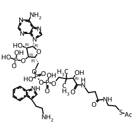 CC(=O)SCCNC(=O)CCNC(=O)[C@H](O)C(C)(C)COP(=O)(O)OP(=O)(O)OC[C@H]1O[C@@H](n2cnc3c(N)ncnc32)[C@H](O)[C@@H]1OP(=O)(O)O.NCCc1c[nH]c2ccccc12